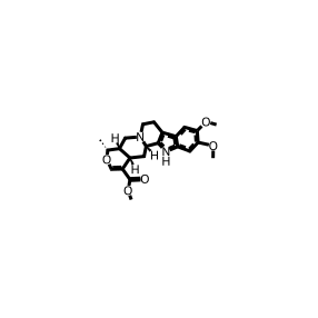 COC(=O)C1=CO[C@H](C)[C@@H]2CN3CCc4c([nH]c5cc(OC)c(OC)cc45)[C@@H]3C[C@H]12